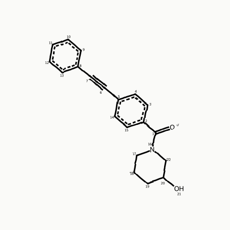 O=C(c1ccc(C#Cc2ccccc2)cc1)N1CCCC(O)C1